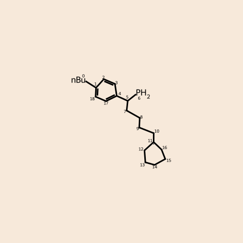 CCCCc1ccc(C(P)CCCC[C]2CCCCC2)cc1